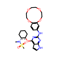 CN([C@@H]1CCCC[C@H]1Oc1nc(Nc2ccc3c(c2)OCCOCCOCCO3)nc2[nH]ccc12)S(C)(=O)=O